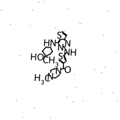 CN1CCN(C(=O)c2csc(Nc3nc(N[C@H]4CC[C@](C)(O)CC4)c4sccc4n3)c2)CC1